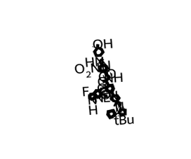 CCOc1nc2[nH]cc(F)c2cc1Oc1cc(N2CCC3(CC2)CN([C@H]2CCC[C@H]2c2ccccc2C(C)(C)C)C3)ccc1C(=O)NS(=O)(=O)c1cnc(NC[C@H]2CC[C@](C)(O)CC2)c([N+](=O)[O-])c1